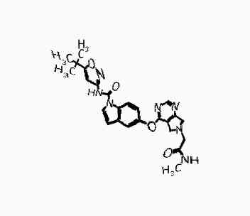 CNC(=O)CN1Cc2ncnc(Oc3ccc4c(ccn4C(=O)Nc4cc(C(C)(C)C)on4)c3)c2C1